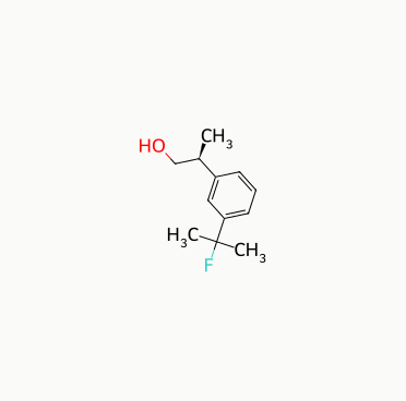 C[C@H](CO)c1cccc(C(C)(C)F)c1